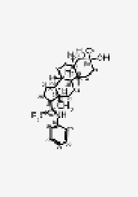 C[C@@]1(O)CC[C@H]2[C@H](CC[C@@H]3[C@@H]2CC[C@]2(C)C([C@@H](Nc4ccccc4)C(F)(F)F)CC[C@@H]32)C1